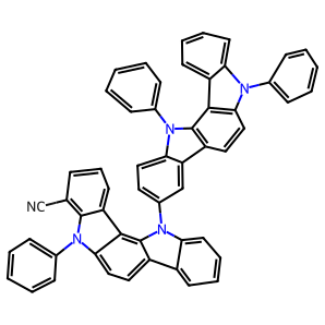 N#Cc1cccc2c3c(ccc4c5ccccc5n(-c5ccc6c(c5)c5ccc7c(c8ccccc8n7-c7ccccc7)c5n6-c5ccccc5)c43)n(-c3ccccc3)c12